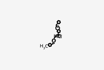 Cc1ccc(CN2CCC(CCCC(=O)c3ccc4c(c3)CCN(Cc3ccccc3)CC4)CC2)cc1.Cl.Cl